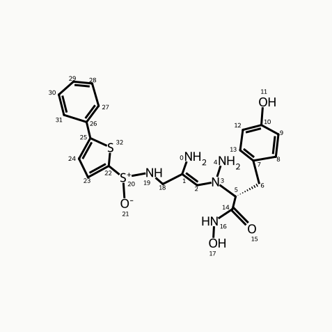 N/C(=C\N(N)[C@H](Cc1ccc(O)cc1)C(=O)NO)CN[S+]([O-])c1ccc(-c2ccccc2)s1